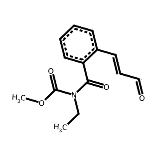 CCN(C(=O)OC)C(=O)c1ccccc1/C=C/[C]=O